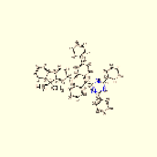 CC1(C)c2ccccc2-c2ccc(-c3c4ccccc4c(-c4nc(-c5ccccc5)nc(-c5ccccc5)n4)c4ccc(-c5ccccc5)cc34)cc21